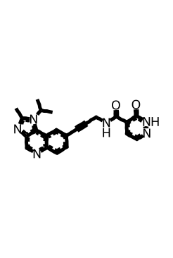 Cc1nc2cnc3ccc(C#CCNC(=O)c4ccn[nH]c4=O)cc3c2n1C(C)C